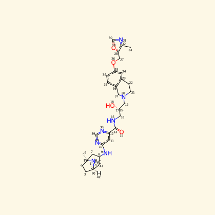 CC(=O)N1[C@@H]2CC[C@@]1(C)CC(Nc1cc(C(=O)NC[C@H](O)CN3CCc4cc(OCc5ocnc5C)ccc4C3)ncn1)C2